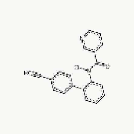 C#Cc1ccc(-c2ccccc2N(Cl)C(=O)c2cccnc2)cc1